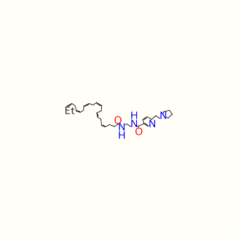 CC/C=C\C/C=C\C/C=C\C/C=C\C/C=C\C/C=C\CCC(=O)NCCNC(=O)c1ccc(CCN2CCCC2)nc1